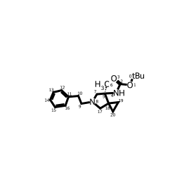 CC(C)(C)OC(=O)N[C@]1(C)CN(CCc2ccccc2)CC12CC2